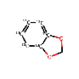 C1O[13C]2=[13CH][13CH]=[13CH][13CH2][13CH]2O1